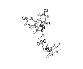 Cc1c(CCS(=O)(=O)CCNC23CC4CC(C)(CC(C)(C4)C2)C3)nn(-c2ccc(Cl)cc2Cl)c1-c1ccc(Cl)cc1